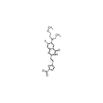 CCN(CCOC)c1cc2c(=O)[nH]c(/C=C/c3ccc([N+](=O)[O-])o3)nc2cc1F